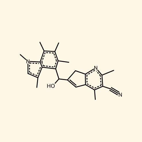 Cc1nc2c(c(C)c1C#N)C=C(C(O)c1c(C)c(C)c(C)c3c1c(C)cn3C)C2